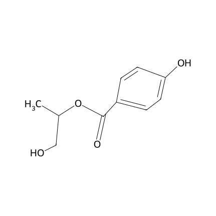 CC(CO)OC(=O)c1ccc(O)cc1